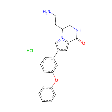 Cl.NCCC1CNC(=O)c2cc(-c3cccc(Oc4ccccc4)c3)cn21